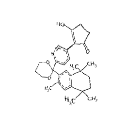 Cc1cc2c(cc1C1(c3ccc(C4=C(O)CCC4=O)cn3)OCCCO1)C(C)(C)CCC2(C)C